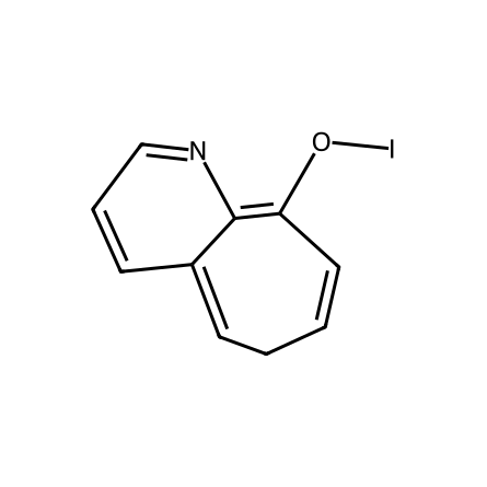 IOC1=c2ncccc2=CCC=C1